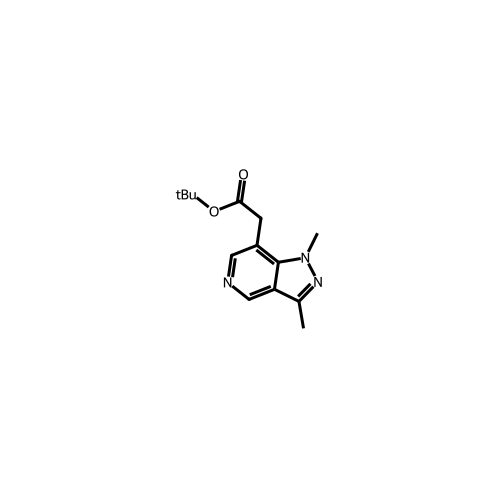 Cc1nn(C)c2c(CC(=O)OC(C)(C)C)cncc12